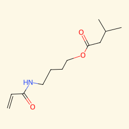 C=CC(=O)NCCCCOC(=O)CC(C)C